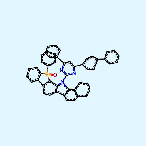 O=P1(c2ccccc2)c2ccccc2-c2ccc3c4ccc5ccccc5c4n(-c4nc(-c5ccccc5)cc(-c5ccc(-c6ccccc6)cc5)n4)c3c21